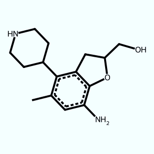 Cc1cc(N)c2c(c1C1CCNCC1)CC(CO)O2